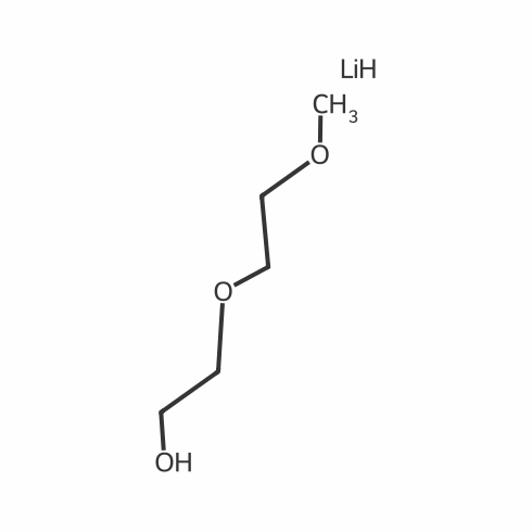 COCCOCCO.[LiH]